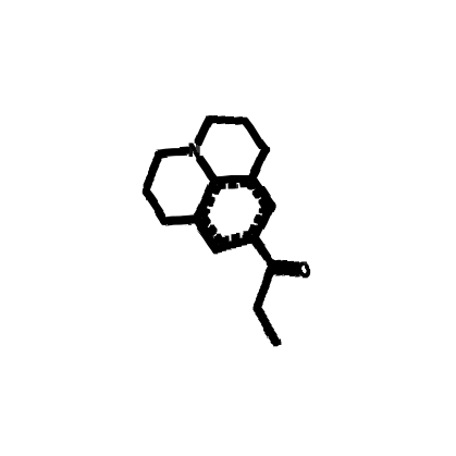 CCC(=O)c1cc2c3c(c1)CCCN3CCC2